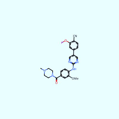 COc1cc(C(=O)N2CCN(C)CC2)ccc1Nc1ncc(-c2ccc(C#N)c(OI)c2)cn1